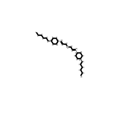 CCCCCC[C@H]1CC[C@H](/C=C/COC/C=C/[C@H]2CC[C@H](CCCCCC)CC2)CC1